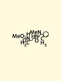 C=C(CCC(=O)NCC(NC)C1=C(C)C=CCCC1)NC(=O)COC